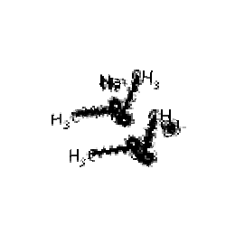 CCCCCCCCCc1ccccc1Oc1ccccc1CCCCCCCCC.CCCCCCCCCc1ccccc1Oc1ccccc1CCCCCCCCC.O=S(=O)([O-])[O-].[Na+].[Na+]